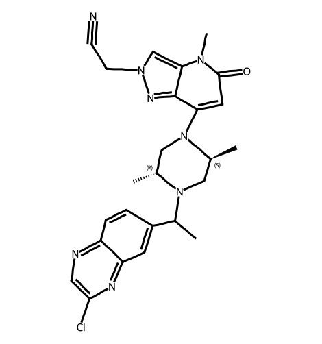 CC(c1ccc2ncc(Cl)nc2c1)N1C[C@H](C)N(c2cc(=O)n(C)c3cn(CC#N)nc23)C[C@H]1C